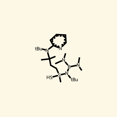 CN(C)B(N(C)C)N(C(C)(C)C)S(C)(S)CCC(C)(C)N(c1ccccn1)C(C)(C)C